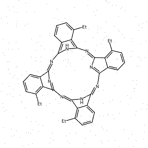 CCc1cccc2c1-c1nc-2nc2[nH]c(nc3nc(nc4[nH]c(n1)c1c(CC)cccc41)-c1cccc(CC)c1-3)c1c(CC)cccc21